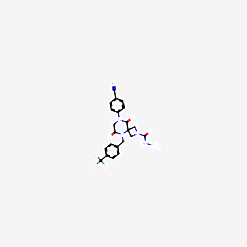 CNC(=O)N1CC2(C1)C(=O)N(c1ccc(C#N)cc1)CC(=O)N2Cc1ccc(C(F)(F)F)cc1